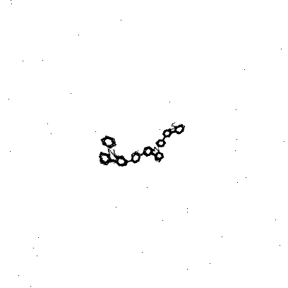 c1ccc(-n2c3ccccc3c3ccc(-c4ccc(-c5ccc6c(c5)c5ccccc5n6-c5ccc(-c6ccc7sc8ccccc8c7c6)cc5)cc4)cc32)cc1